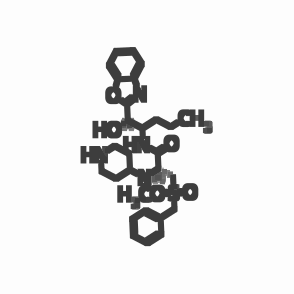 CCCC(NC(=O)[C@H](CS(=O)(=O)Cc1ccccc1)N(C)C1CCNCC1)[C@H](O)c1nc2ccccc2o1